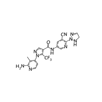 Cc1c(-n2ncc(C(=O)Nc3cnc(N4N=CCN4)c(C#N)c3)c2C(F)(F)F)ccnc1N